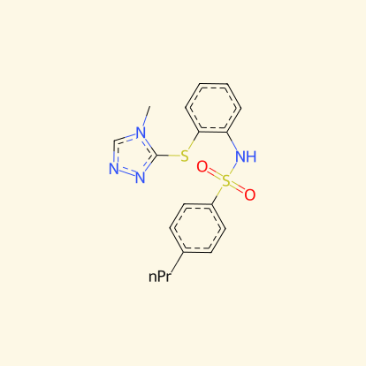 CCCc1ccc(S(=O)(=O)Nc2ccccc2Sc2nncn2C)cc1